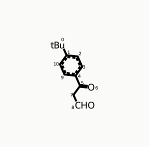 CC(C)(C)c1ccc(C(=O)CC=O)cc1